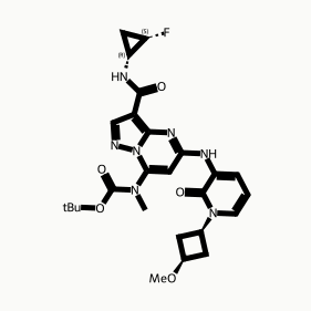 CO[C@H]1C[C@@H](n2cccc(Nc3cc(N(C)C(=O)OC(C)(C)C)n4ncc(C(=O)N[C@@H]5C[C@@H]5F)c4n3)c2=O)C1